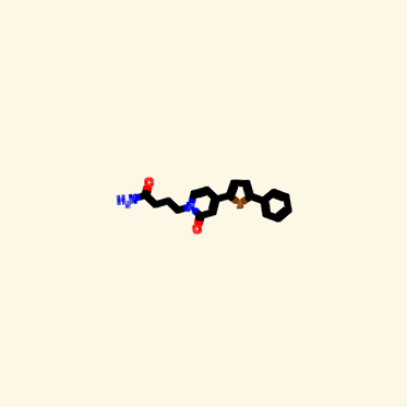 NC(=O)CCCn1ccc(-c2ccc(-c3ccccc3)s2)cc1=O